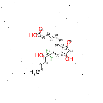 CCCCC(O)C(F)(F)/C=C/[C@H]1[C@H](O)CC(=O)[C@@H]1C/C=C\CCCC(=O)O